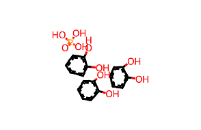 O=P(O)(O)O.Oc1ccccc1O.Oc1ccccc1O.Oc1ccccc1O